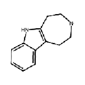 c1ccc2c3c([nH]c2c1)CC[N]CC3